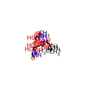 CC(=O)NC1C(O)C(O)[C@H](CO)O[C@@H]1O[C@@H]1O[C@H](C[C@@H](O)C2O[C@@H](n3ccc(=O)[nH]c3=O)[C@H](O)[C@@H]2O)C(O)C(O)C1NC(=O)/C=C/C(C)CC(C)C(C)C